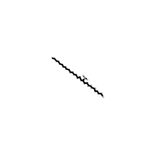 CCCCCCCCCCCCCCCCCC(CCCCCCCCCCC)N(C)C